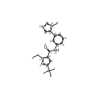 CCn1nc(C(C)(C)C)cc1C(=O)Nc1cccc(-c2cncn2C)c1